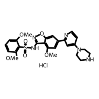 COc1cccc(OC)c1S(=O)(=O)Nc1noc2cc(-c3cc(N4CCNCC4)ccn3)cc(OC)c12.Cl